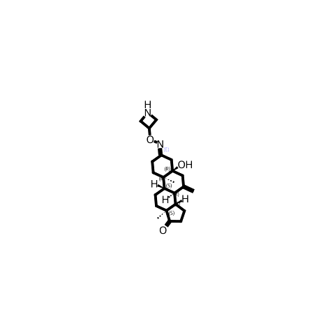 C=C1C[C@@]2(O)C/C(=N/OC3CNC3)CC[C@]2(C)[C@H]2CC[C@]3(C)C(=O)CC[C@H]3[C@H]12